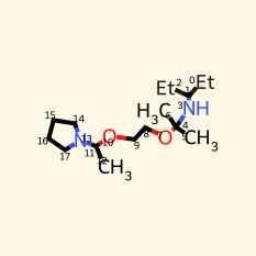 CCC(CC)NC(C)(C)OCCOC(C)N1CCCC1